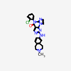 CN1CCc2ccc(Nc3ncc4c(=O)n(-c5ccccc5Cl)c5nccn5c4n3)cc2CC1